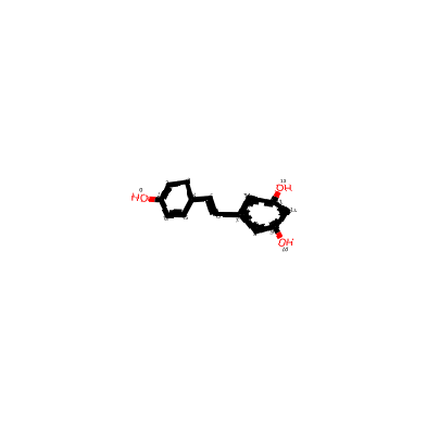 OC1=CCC(/C=C/c2cc(O)cc(O)c2)C=C1